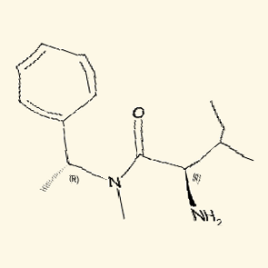 CC(C)[C@@H](N)C(=O)N(C)[C@H](C)c1ccccc1